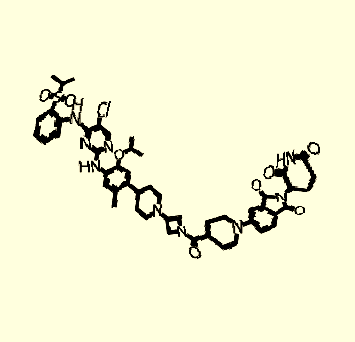 Cc1cc(Nc2ncc(Cl)c(Nc3ccccc3S(=O)(=O)C(C)C)n2)c(OC(C)C)cc1C1CCN(C2CN(C(=O)C3CCN(c4ccc5c(c4)C(=O)N(C4CCC(=O)NC4=O)C5=O)CC3)C2)CC1